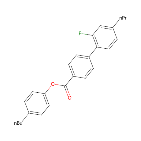 CCCCc1ccc(OC(=O)c2ccc(-c3ccc(CCC)cc3F)cc2)cc1